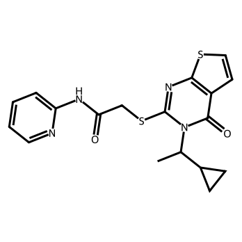 CC(C1CC1)n1c(SCC(=O)Nc2ccccn2)nc2sccc2c1=O